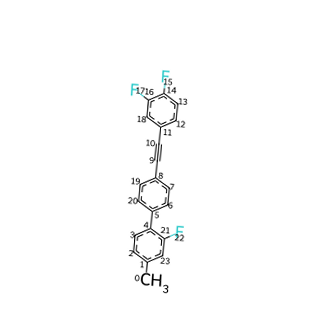 Cc1ccc(-c2ccc(C#Cc3ccc(F)c(F)c3)cc2)c(F)c1